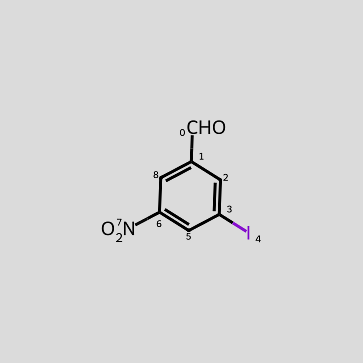 O=Cc1cc(I)cc([N+](=O)[O-])c1